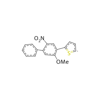 COc1cc(-c2ccccc2)c([N+](=O)[O-])cc1-c1cc[c]s1